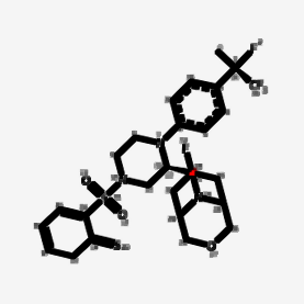 C[C@](F)(c1ccc(N2CCN(S(=O)(=O)C3=CC=CCC3=S)C[C@@H]2CN2C3COCC2CC(F)C3)cc1)C(F)(F)F